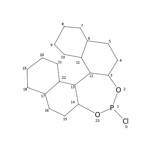 ClP1OC2CCC3CCCCC3C2C2C(CCC3CCCCC32)O1